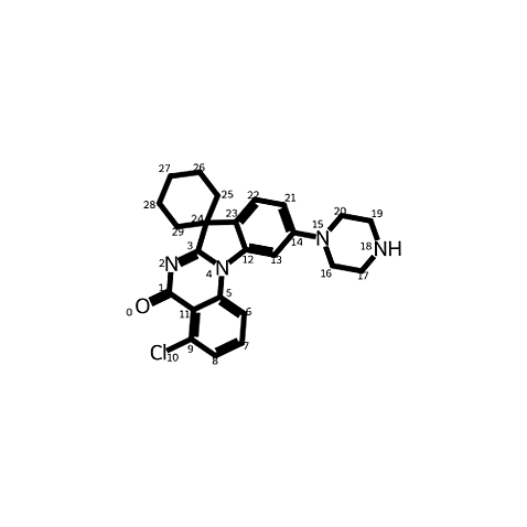 O=c1nc2n(c3cccc(Cl)c13)-c1cc(N3CCNCC3)ccc1C21CCCCC1